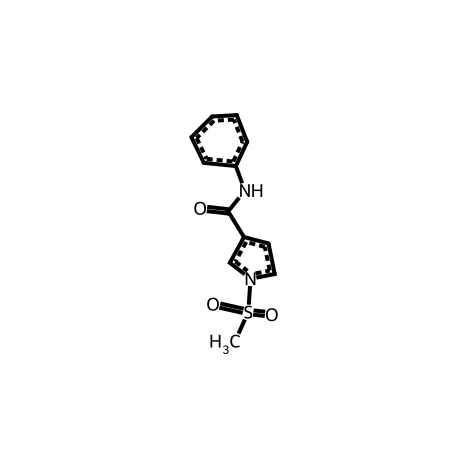 CS(=O)(=O)n1ccc(C(=O)Nc2ccccc2)c1